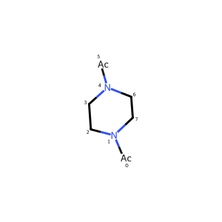 [CH2]C(=O)N1CCN(C(C)=O)CC1